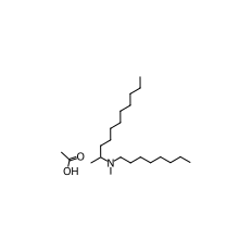 CC(=O)O.CCCCCCCCCC(C)N(C)CCCCCCCC